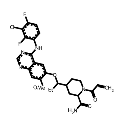 C=CC(=O)N1CCC(C(CC)Oc2cc3c(Nc4ccc(F)c(Cl)c4F)ncnc3cc2OC)CC1C(N)=O